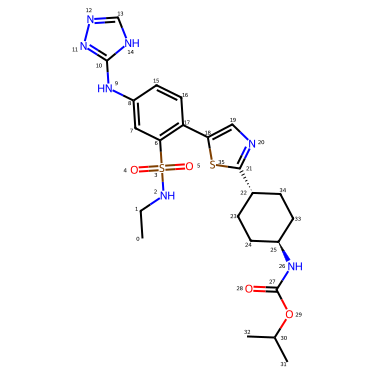 CCNS(=O)(=O)c1cc(Nc2nnc[nH]2)ccc1-c1cnc([C@H]2CC[C@H](NC(=O)OC(C)C)CC2)s1